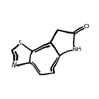 O=C1Cc2c(ccc3ncsc23)N1